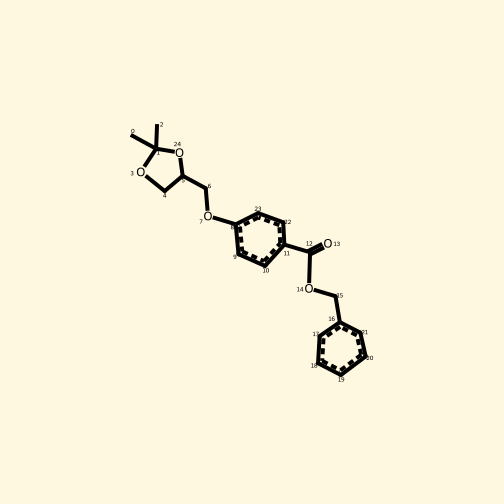 CC1(C)OCC(COc2ccc(C(=O)OCc3ccccc3)cc2)O1